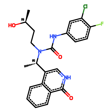 C[C@H](O)CCN(C(=O)Nc1ccc(F)c(Cl)c1)[C@@H](C)c1c[nH]c(=O)c2ccccc12